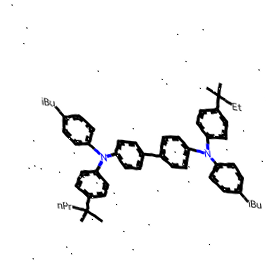 CCCC(C)(C)c1ccc(N(c2ccc(-c3ccc(N(c4ccc(C(C)CC)cc4)c4ccc(C(C)(C)CC)cc4)cc3)cc2)c2ccc(C(C)CC)cc2)cc1